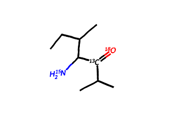 CCC(C)C([15NH2])[13C](=[18O])C(C)C